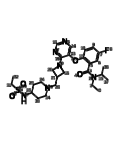 CCN(C(=O)c1cc(F)ccc1Oc1cncnc1N1CC(CN2CCC(NS(=O)(=O)CC)CC2)C1)C(C)C